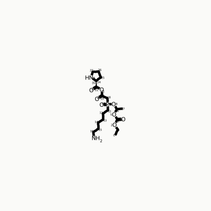 CCOC(=O)OC(C)OP(=O)(CCCCCCN)CC(=O)OC(=O)[C@@H]1CCCN1